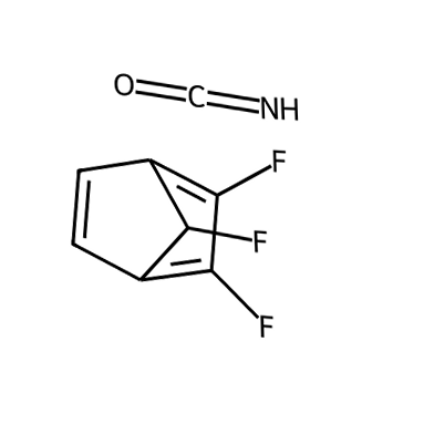 FC1=C2C=CC(=C1F)C2F.N=C=O